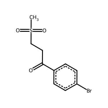 CS(=O)(=O)CCC(=O)c1ccc(Br)cc1